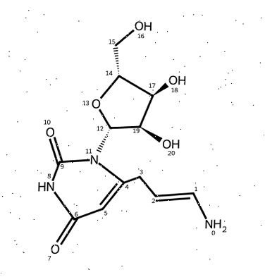 NC=CCc1cc(=O)[nH]c(=O)n1[C@@H]1O[C@H](CO)[C@@H](O)[C@H]1O